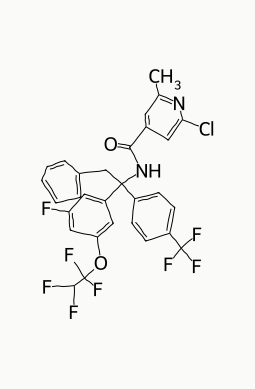 Cc1cc(C(=O)NC(Cc2ccccc2)(c2ccc(C(F)(F)F)cc2)c2cc(F)cc(OC(F)(F)C(F)F)c2)cc(Cl)n1